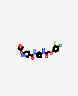 O=C(COc1ccc(Cl)c(F)c1)NC12CC(C1)C(NC(=O)C1CCC(OC3COC3)NC1)C2